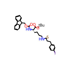 CC(C)(C)OC(=O)[C@H](CCCCNC(=S)CCc1ccc(I)cc1)NC(=O)OCC1c2ccccc2-c2ccccc21